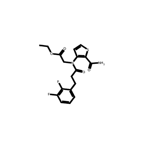 CCOC(=O)CN(C(=O)CCc1cccc(F)c1F)c1ccsc1C(N)=O